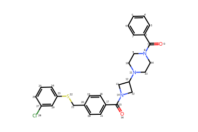 O=C(c1ccccc1)N1CCN(C2CN(C(=O)c3ccc(CSc4cccc(Cl)c4)cc3)C2)CC1